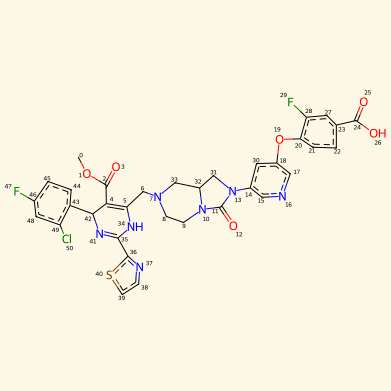 COC(=O)C1=C(CN2CCN3C(=O)N(c4cncc(Oc5ccc(C(=O)O)cc5F)c4)CC3C2)NC(c2nccs2)=NC1c1ccc(F)cc1Cl